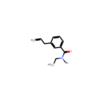 C=CCc1cccc(C(=O)N(CC(=O)O)C(C)C)c1